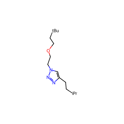 CC(C)CCc1cn(CCOCCC(C)(C)C)nn1